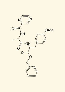 COc1ccc(CC(NC(=O)C(C)NC(=O)c2cnccn2)C(=O)OCc2ccccc2)cc1